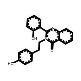 O=c1c2ccccc2nc(-c2ccccc2O)n1CCc1ccc(O)cc1